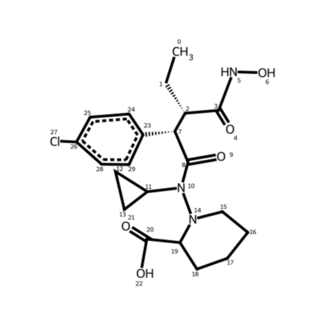 CC[C@H](C(=O)NO)[C@H](C(=O)N(C1CC1)N1CCCCC1C(=O)O)c1ccc(Cl)cc1